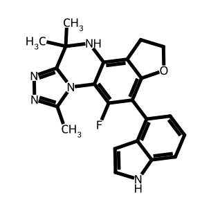 Cc1nnc2n1-c1c(F)c(-c3cccc4[nH]ccc34)c3c(c1NC2(C)C)CCO3